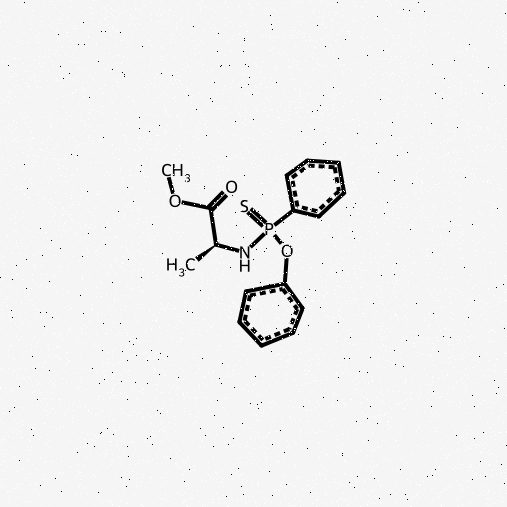 COC(=O)[C@H](C)NP(=S)(Oc1ccccc1)c1ccccc1